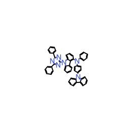 c1ccc(-c2nc(-c3ccccc3)nc(-n3c4ccccc4c4c(N(c5ccccc5)c5ccc(-n6c7ccccc7c7ccccc76)cc5)cccc43)n2)cc1